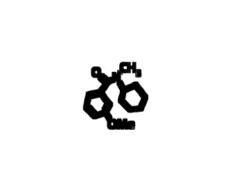 COc1cccc(C(=O)N(C)C2CCCCC2)c1